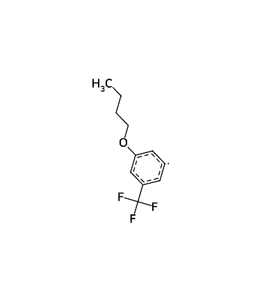 CCCCOc1c[c]cc(C(F)(F)F)c1